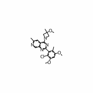 COc1cc(OC)c(Cl)c(-c2nc(N3CC(C)(OC)C3)c3cc(C)ncc3n2)c1C